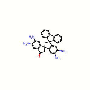 Nc1cc2c(cc1N)C1(CC2=O)CC2(c3ccccc3-c3ccccc32)c2cc(N)c(N)cc21